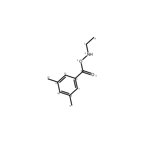 CCNOC(=O)c1cc(C)cc(C)c1